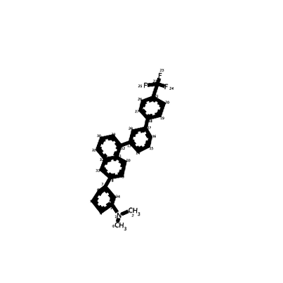 CN(C)c1cccc(-c2ccc3c(-c4cccc(-c5ccc(C(F)(F)F)cc5)c4)cccc3c2)c1